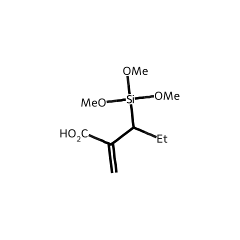 C=C(C(=O)O)C(CC)[Si](OC)(OC)OC